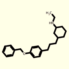 CCNC1CCCC(CCCc2ccc(OCc3ccccc3)cc2)C1